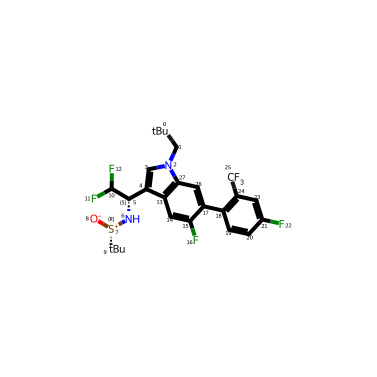 CC(C)(C)Cn1cc([C@H](N[S@@+]([O-])C(C)(C)C)C(F)F)c2cc(F)c(-c3ccc(F)cc3C(F)(F)F)cc21